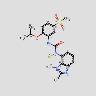 Cc1nc2cccc(N(S)C(=O)Nc3cc(S(C)(=O)=O)ccc3OC(C)C)c2n1C